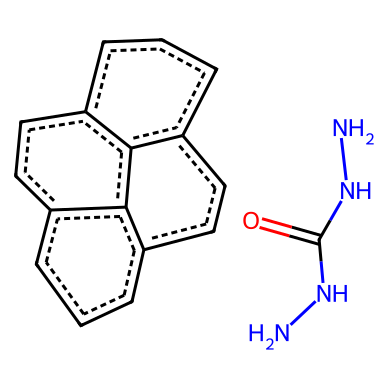 NNC(=O)NN.c1cc2ccc3cccc4ccc(c1)c2c34